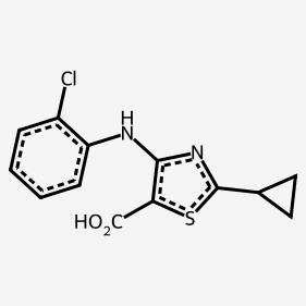 O=C(O)c1sc(C2CC2)nc1Nc1ccccc1Cl